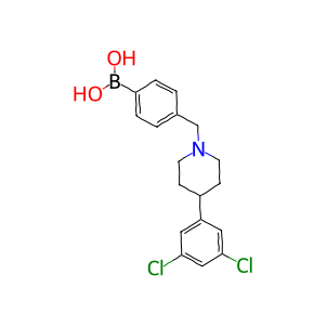 OB(O)c1ccc(CN2CCC(c3cc(Cl)cc(Cl)c3)CC2)cc1